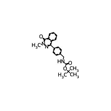 Cn1nc(-c2ccc(CNC(=O)OC(C)(C)C)cc2)c2ccccc2c1=O